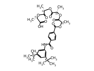 C[C@H](OC(=O)[C@H](C)OC(=O)[C@H](C)OC(=O)[C@H](C)OC(=O)c1ccc(C(=O)Nc2cc([Si](C)(C)C)cc([Si](C)(C)C)c2)cc1)C(=O)O